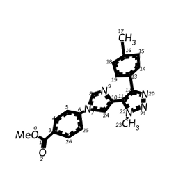 COC(=O)c1ccc(-n2cnc(-c3c(-c4ccc(C)cc4)nnn3C)c2)cc1